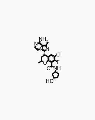 Cc1nc([C@H]2CC(C)Oc3c2cc(Cl)c(F)c3C(=O)N[C@H]2CC[C@H](O)C2)n2ccnc(N)c12